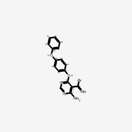 N=C(Br)c1c(N)ncnc1Oc1ccc(Oc2ccccc2)cc1